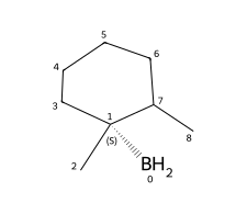 B[C@]1(C)CCCCC1C